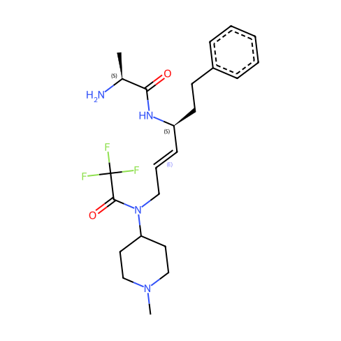 C[C@H](N)C(=O)N[C@H](/C=C/CN(C(=O)C(F)(F)F)C1CCN(C)CC1)CCc1ccccc1